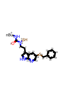 CCCCNC(=O)N(S)CCc1c[nH]c2ncc(SCc3ccccc3)cc12